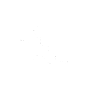 CCCCOc1ncccc1-c1cc(=O)c2ccc(C(=O)O)cc2o1